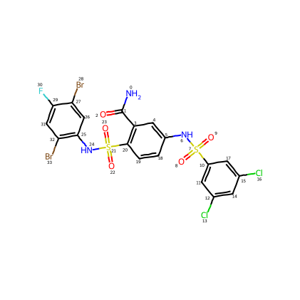 NC(=O)c1cc(NS(=O)(=O)c2cc(Cl)cc(Cl)c2)ccc1S(=O)(=O)Nc1cc(Br)c(F)cc1Br